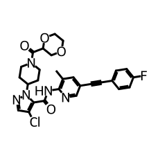 Cc1cc(C#Cc2ccc(F)cc2)cnc1NC(=O)c1c(Cl)cnn1C1CCN(C(=O)C2COCCO2)CC1